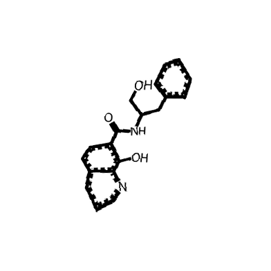 O=C(NC(CO)Cc1ccccc1)c1ccc2cccnc2c1O